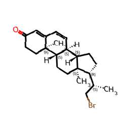 C[C@H](CBr)[C@H]1CC[C@H]2[C@@H]3C=CC4=CC(=O)CC[C@]4(C)[C@H]3CC[C@]12C